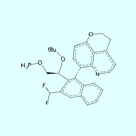 CC(C)(C)O[C@H](COP)c1c(C(F)F)cc2ccccc2c1-c1ccc2c3c(ccnc13)CCO2